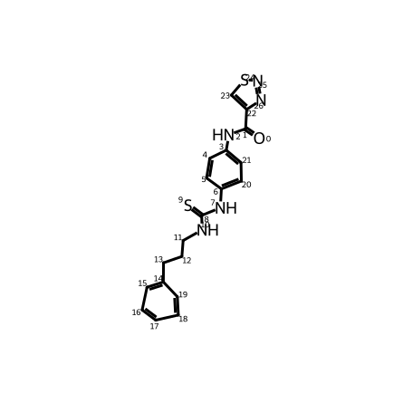 O=C(Nc1ccc(NC(=S)NCCCc2ccccc2)cc1)c1csnn1